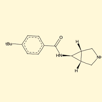 CC(C)(C)c1ccc(C(=O)N[C@H]2[C@@H]3CNC[C@@H]32)cc1